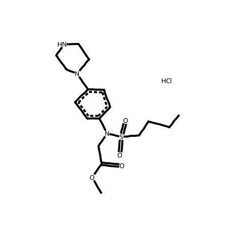 CCCCS(=O)(=O)N(CC(=O)OC)c1ccc(N2CCNCC2)cc1.Cl